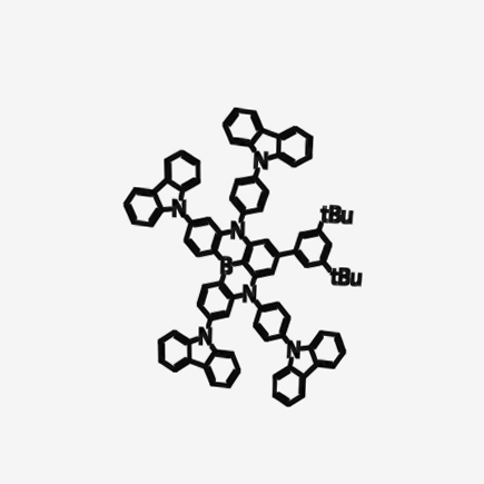 CC(C)(C)c1cc(-c2cc3c4c(c2)N(c2ccc(-n5c6ccccc6c6ccccc65)cc2)c2cc(-n5c6ccccc6c6ccccc65)ccc2B4c2ccc(-n4c5ccccc5c5ccccc54)cc2N3c2ccc(-n3c4ccccc4c4ccccc43)cc2)cc(C(C)(C)C)c1